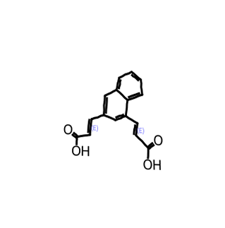 O=C(O)/C=C/c1cc(/C=C/C(=O)O)c2ccccc2c1